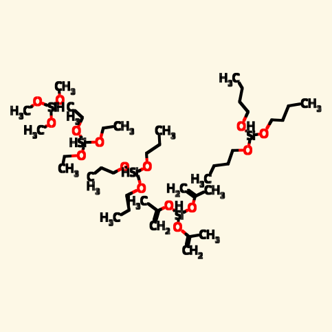 C=C(C)O[SiH](OC(=C)C)OC(=C)C.CCCCO[SiH](OCCCC)OCCCC.CCCO[SiH](OCCC)OCCC.CCO[SiH](OCC)OCC.CO[SiH](OC)OC